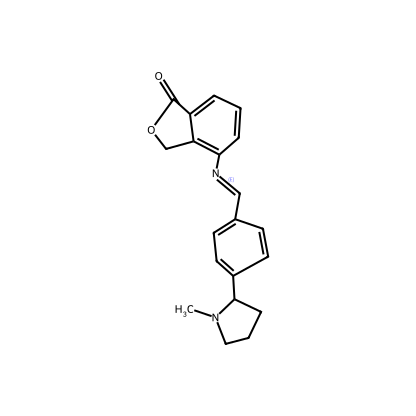 CN1CCCC1c1ccc(/C=N/c2cccc3c2COC3=O)cc1